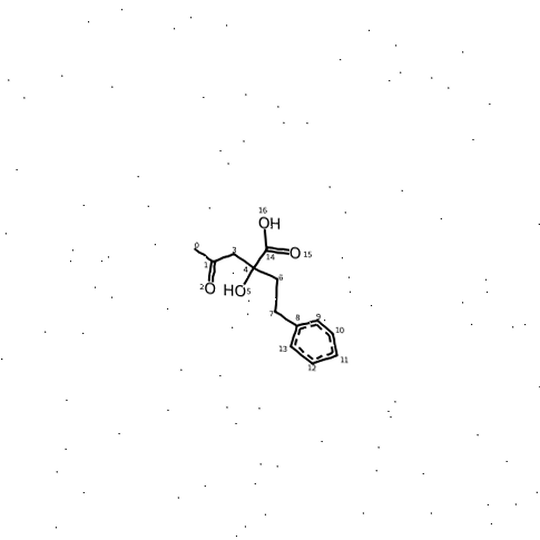 CC(=O)CC(O)(CCc1ccccc1)C(=O)O